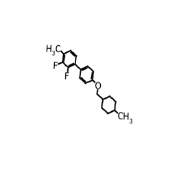 Cc1ccc(-c2ccc(OCC3CCC(C)CC3)cc2)c(F)c1F